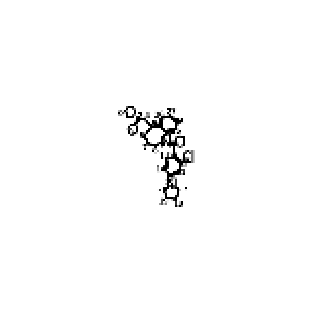 COC(=O)CC1CCCN(C(=O)c2ccc(N3CCCC3)cc2Cl)c2ccccc21